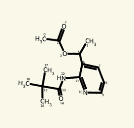 CC(=O)OC(C)c1cccnc1NC(=O)C(C)(C)C